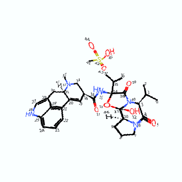 CC(C)[C@H]1C(=O)N2CCC[C@H]2[C@]2(O)O[C@](NC(=O)[C@H]3C=C4c5cccc6[nH]cc(c56)C[C@H]4N(C)C3)(C(C)C)C(=O)N12.CS(=O)(=O)O